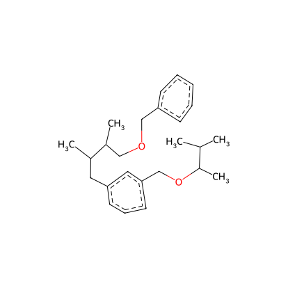 CC(C)C(C)OCc1cccc(CC(C)C(C)COCc2ccccc2)c1